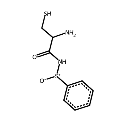 NC(CS)C(=O)N[S+]([O-])c1ccccc1